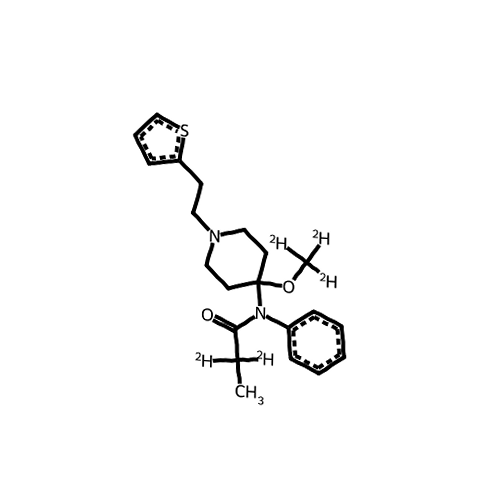 [2H]C([2H])([2H])OC1(N(C(=O)C([2H])([2H])C)c2ccccc2)CCN(CCc2cccs2)CC1